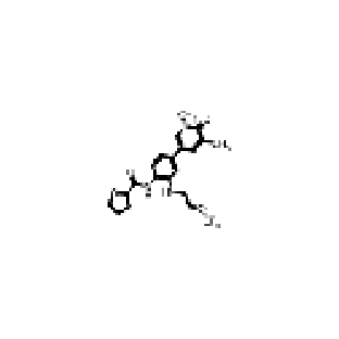 Cc1cc(-c2ccc(NC(=O)[C@H]3CCCO3)c(NCCOC(F)(F)F)c2)cn(C)c1=O